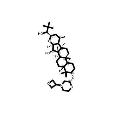 C[C@@H]1C[C@H](C(O)C(C)(C)C)O[C@H]2C1[C@@]1(C)CC[C@@]34C[C@@]35CC[C@H](O[C@H]3CN(C6COC6)CCO3)C(C)(C)[C@@H]5CC[C@H]4[C@]1(C)[C@H]2O